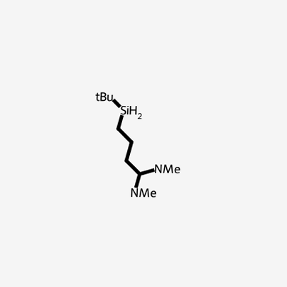 CNC(CCC[SiH2]C(C)(C)C)NC